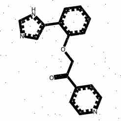 O=C(COc1ccccc1-c1cnc[nH]1)c1ccncc1